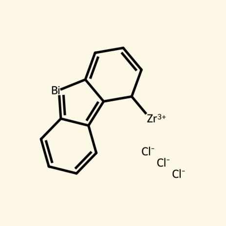 [Cl-].[Cl-].[Cl-].[Zr+3][CH]1C=CC=[C]2[Bi]=[c]3ccccc3=C21